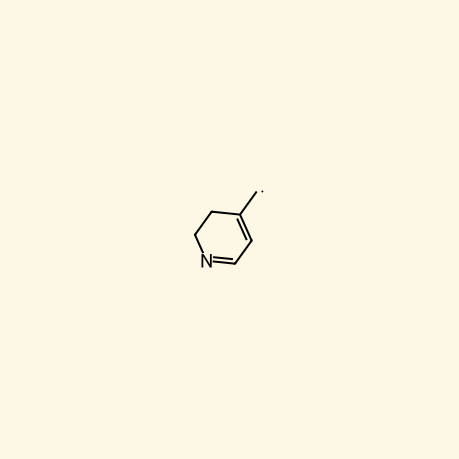 [CH2]C1=CC=NCC1